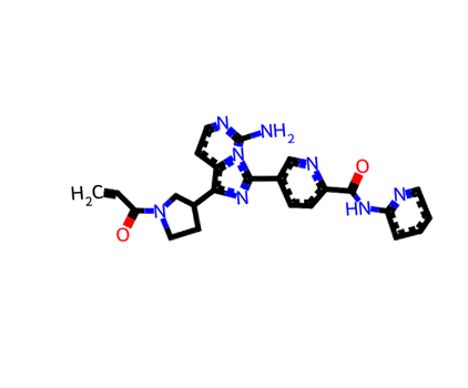 C=CC(=O)N1CCC(c2nc(-c3ccc(C(=O)Nc4ccccn4)nc3)n3c(N)nccc23)C1